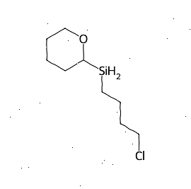 ClCCCC[SiH2]C1CCCCO1